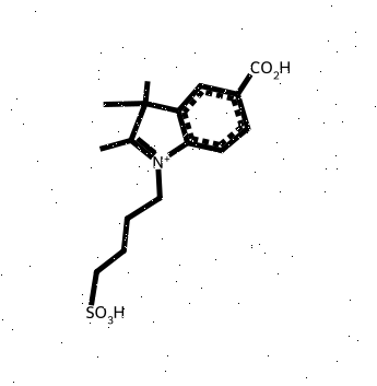 CC1=[N+](CCCCS(=O)(=O)O)c2ccc(C(=O)O)cc2C1(C)C